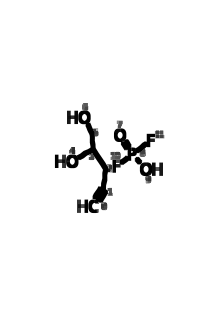 C#CCC(O)CO.O=P(O)(F)F